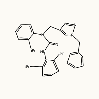 CC(C)c1ccccc1N(Cc1cnn(Cc2ccccc2)c1)C(=O)Nc1c(C(C)C)cccc1C(C)C